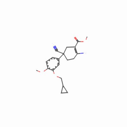 COC(=O)C1=C(N)CCC(C#N)(c2ccc(OC)c(OCC3CC3)c2)C1